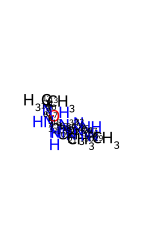 CC1NC=C(NC(=O)CN2CC(C)(C)C2)C=C1NC1NN(C)c2nc(Nc3cn(C)cn3)ncc21